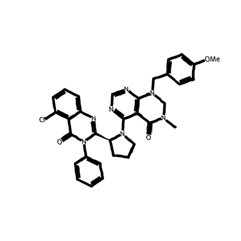 COc1ccc(CN2CN(C)C(=O)c3c2ncnc3N2CCC[C@H]2c2nc3cccc(Cl)c3c(=O)n2-c2ccccc2)cc1